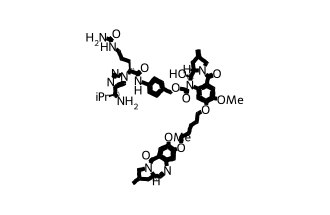 C=C1C[C@H]2[C@H](O)N(C(=O)OCc3ccc(NC(=O)[C@H](CCCNC(N)=O)n4cc([C@@H](N)C(C)C)nn4)cc3)c3cc(OCCCCCOc4cc5c(cc4OC)C(=O)N4CC(C)C[C@H]4C=N5)c(OC)cc3C(=O)N2C1